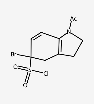 CC(=O)N1CCC2=C1C=CC(Br)(S(=O)(=O)Cl)C2